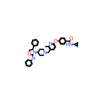 Cc1nc(Oc2ccc(C(=O)NC3CC3)cc2)ccc1CN1CCC(N2C(=Nc3ccccc3)OCC2c2ccccc2)CC1